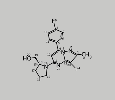 Cc1nn2c(-c3ccc(F)cc3)cc(N3CCC[C@H]3CO)nc2c1I